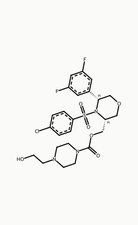 O=C(OC[C@H]1COC[C@@H](c2cc(F)cc(F)c2)N1S(=O)(=O)c1ccc(Cl)cc1)N1CCN(CCO)CC1